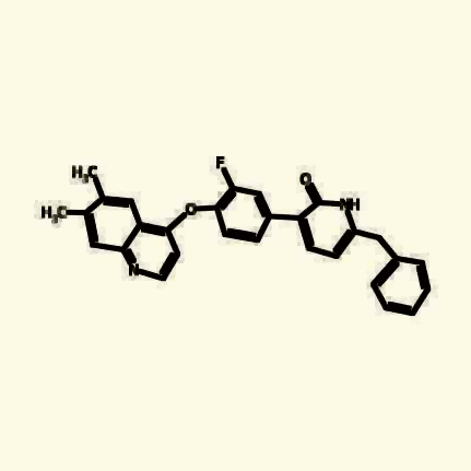 Cc1cc2nccc(Oc3ccc(-c4ccc(Cc5ccccc5)[nH]c4=O)cc3F)c2cc1C